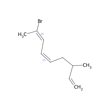 C=CC(C)C/C=C\C=C(/C)Br